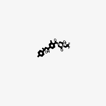 Cc1ccc(C2(C)CC(c3ccc(C(=O)N4CC(=O)N(CC(F)(F)F)C(=O)C4)c(C)c3)=NO2)cc1